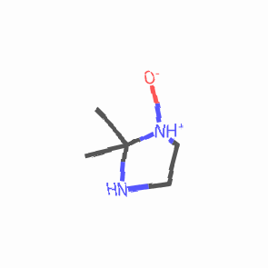 CC1(C)NCC[NH+]1[O-]